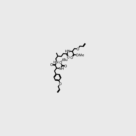 C=CCOCC(NC(=O)CCC(C)CNC(=O)C(Cc1ccc(OCC=C)cc1)NC(=O)OC(C)(C)C)C(=O)OC